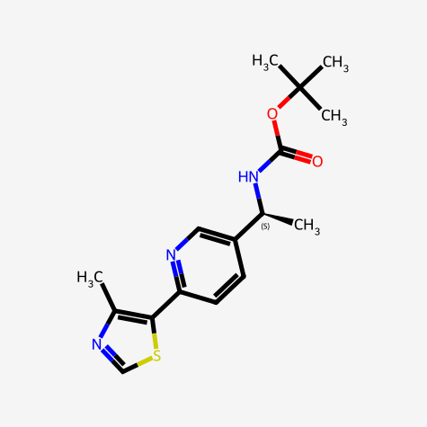 Cc1ncsc1-c1ccc([C@H](C)NC(=O)OC(C)(C)C)cn1